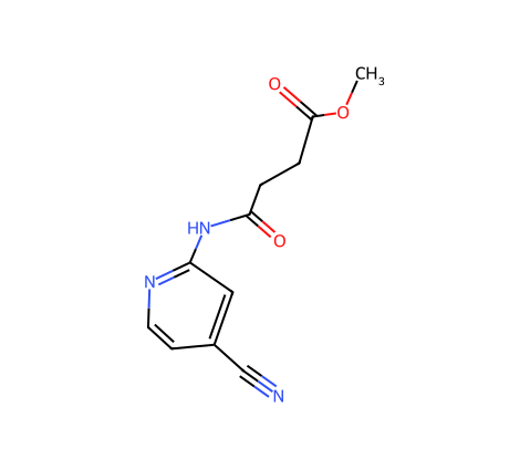 COC(=O)CCC(=O)Nc1cc(C#N)ccn1